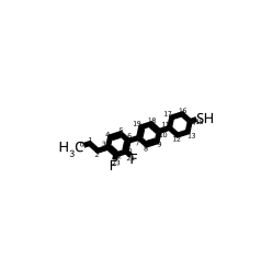 CCCc1ccc(-c2ccc(C3CCC(S)CC3)cc2)c(F)c1F